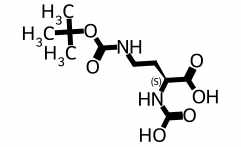 CC(C)(C)OC(=O)NCC[C@H](NC(=O)O)C(=O)O